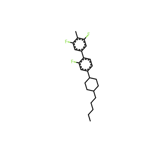 CCCCCC1CCC(c2ccc(-c3cc(F)c(C)c(F)c3)c(F)c2)CC1